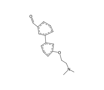 CN(C)CCOc1cccc(-c2cccc(C=O)c2)c1